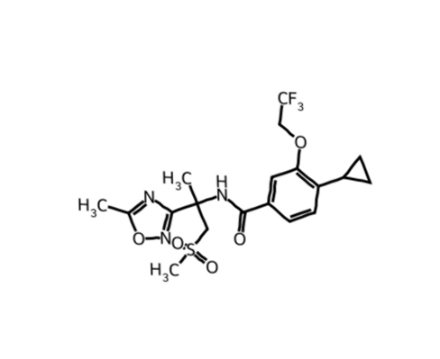 Cc1nc(C(C)(CS(C)(=O)=O)NC(=O)c2ccc(C3CC3)c(OCC(F)(F)F)c2)no1